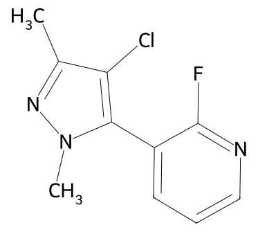 Cc1nn(C)c(-c2cccnc2F)c1Cl